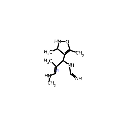 CN/C=C(\C)C(NC=N)C1=C(C)ONC1C